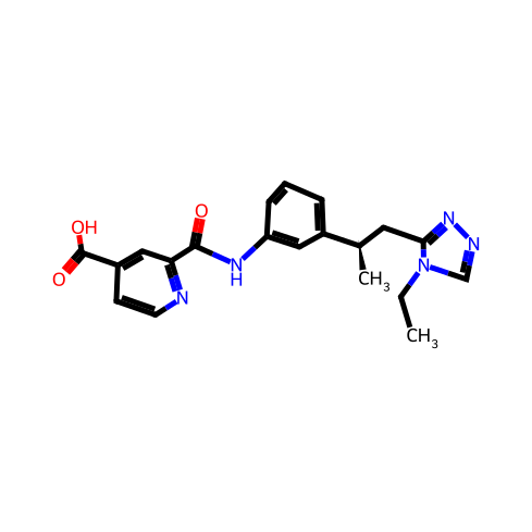 CCn1cnnc1C[C@@H](C)c1cccc(NC(=O)c2cc(C(=O)O)ccn2)c1